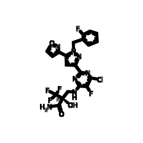 NC(=O)[C@@](O)(CNc1nc(-c2cc(-c3ccon3)n(Cc3ccccc3F)n2)nc(Cl)c1F)C(F)(F)F